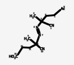 CC(=O)CCC(C)(C#N)N=NC(C)(C#N)CCC(=O)O